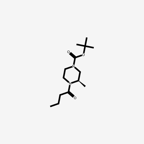 CCCC(=O)N1CCN(C(=O)OC(C)(C)C)C[C@H]1C